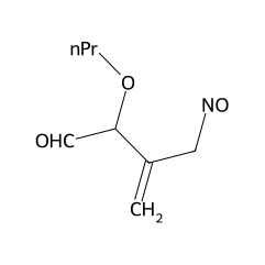 C=C(CN=O)C(C=O)OCCC